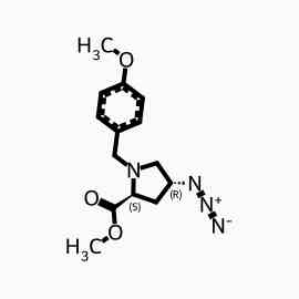 COC(=O)[C@@H]1C[C@@H](N=[N+]=[N-])CN1Cc1ccc(OC)cc1